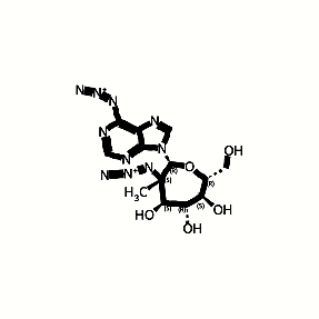 C[C@]1(N=[N+]=[N-])[C@H](O)[C@@H](O)[C@H](O)[C@@H](CO)O[C@H]1n1cnc2c(N=[N+]=[N-])ncnc21